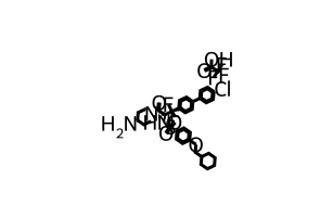 NC1CCN(C(=O)[C@H](NS(=O)(=O)c2ccc(OCC3CCCCC3)cc2)C(F)(F)c2ccc(-c3ccc(Cl)cc3)cc2)CC1.O=C(O)C(F)(F)F